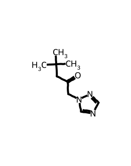 CC(C)(C)CC(=O)Cn1cncn1